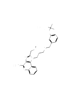 CCOCc1nc2c(N)nc3ccccc3c2n1CCCNCc1cccc(OC(C)(C)C(=O)OCC)c1